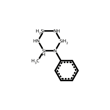 C[SiH]1N[SiH2]N[SiH2]N1c1ccccc1